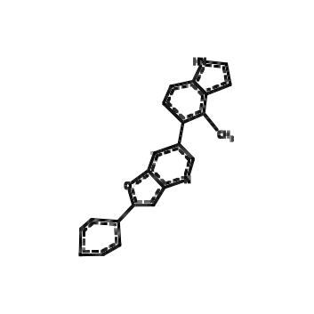 Cc1c(-c2[c]c3oc(-c4ccccc4)cc3nc2)ccc2[nH]ccc12